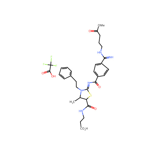 COC(=O)CCCNC(=N)c1ccc(C(=O)N=C2SC(C(=O)NCCC(=O)O)C(C)N2CCc2ccccc2)cc1.O=C(O)C(F)(F)F